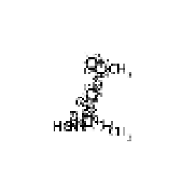 CCCCN1CC[C@H](C(=O)NO)[C@H](CS(=O)(=O)c2ccc(OCc3cc(C)nc4ccccc34)cc2)C1